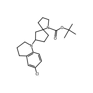 CC(C)(C)OC(=O)N1CCCC12CCC(N1CCCc3cc(Cl)ccc31)C2